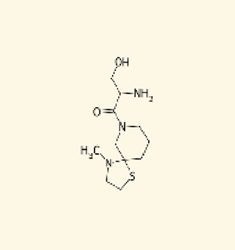 CN1CCSC12CCCN(C(=O)C(N)CO)C2